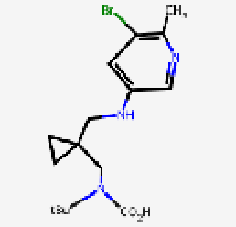 Cc1ncc(NCC2(CN(C(=O)O)C(C)(C)C)CC2)cc1Br